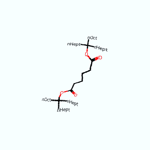 CCCCCCCCC(CCCCCCC)(CCCCCCC)OC(=O)CCCCC(=O)OC(CCCCCCC)(CCCCCCC)CCCCCCCC